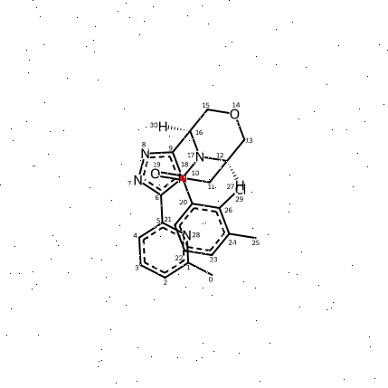 Cc1cccc(-c2nnc3n2C[C@@H]2COC[C@H]3N2C(=O)c2cccc(C)c2Cl)n1